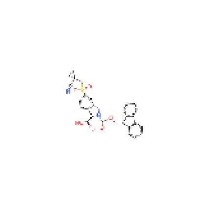 N#CC1(CS(=O)(=O)c2ccc3c(c2)CN(C(=O)OCC2c4ccccc4-c4ccccc42)C3C(=O)O)CC1